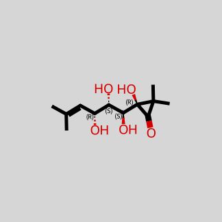 CC(C)=C[C@@H](O)[C@H](O)[C@H](O)[C@@]1(O)C(=O)C1(C)C